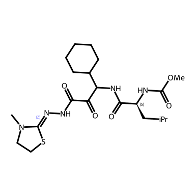 COC(=O)N[C@@H](CC(C)C)C(=O)NC(C(=O)C(=O)N/N=C1\SCCN1C)C1CCCCC1